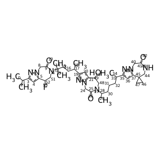 CC(C)c1cc2n(n1)CC(=O)N(C(C)(C)CCC(C)c1cc3n(n1)CC(=O)N(C(C)CCCC(C)c1cc4n(n1)CC(=O)NCC41CC1)CC3O)CC2F